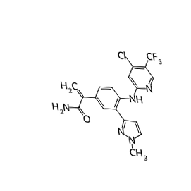 C=C(C(N)=O)c1ccc(Nc2cc(Cl)c(C(F)(F)F)cn2)c(-c2ccn(C)n2)c1